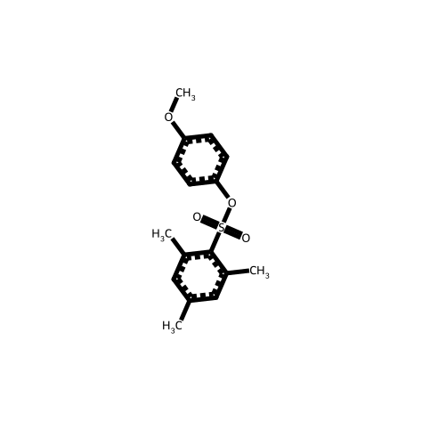 COc1ccc(OS(=O)(=O)c2c(C)cc(C)cc2C)cc1